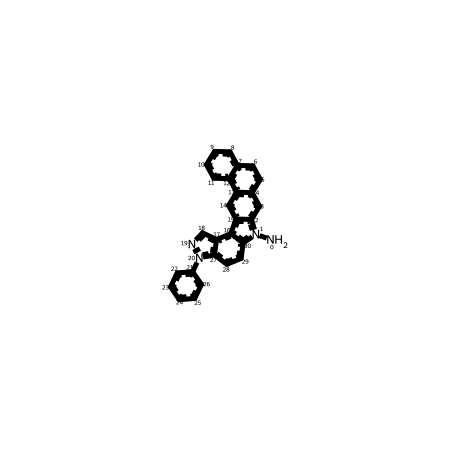 Nn1c2cc3ccc4ccccc4c3cc2c2c3cnn(-c4ccccc4)c3ccc21